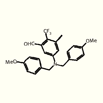 COc1ccc(CN(Cc2ccc(OC)cc2)c2cc(C)c(C(F)(F)F)c(C=O)c2)cc1